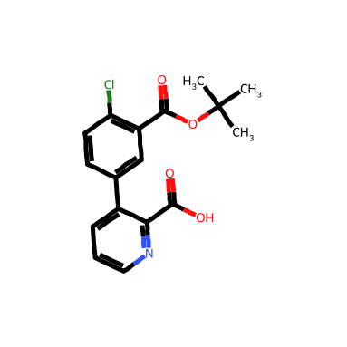 CC(C)(C)OC(=O)c1cc(-c2cccnc2C(=O)O)ccc1Cl